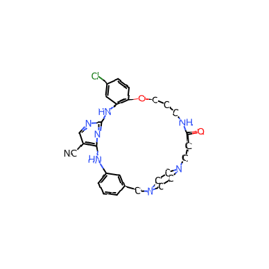 N#Cc1cnc2nc1Nc1cccc(c1)CN1CCN(CCC(=O)NCCCOc3ccc(Cl)cc3N2)CC1